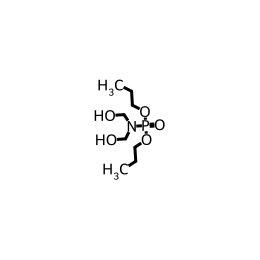 CCCOP(=O)(OCCC)N(CO)CO